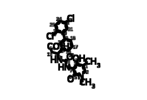 Cc1cn(C)c(=O)c(NC(=O)NC(CC(=O)O)c2cccc(-c3cc(Cl)ccc3Cl)c2)c1O